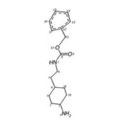 NC1CCC(CCNC(=O)OCc2ccccc2)CC1